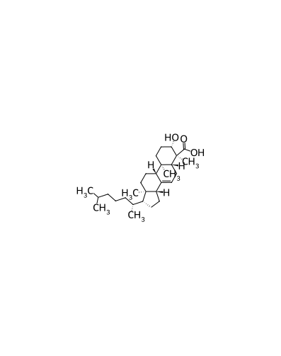 CC(C)CCC[C@@H](C)[C@H]1CC[C@H]2C3=CC[C@@H]4[C@](C)(CC[C@H](O)[C@@]4(C)C(=O)O)[C@H]3CC[C@]12C